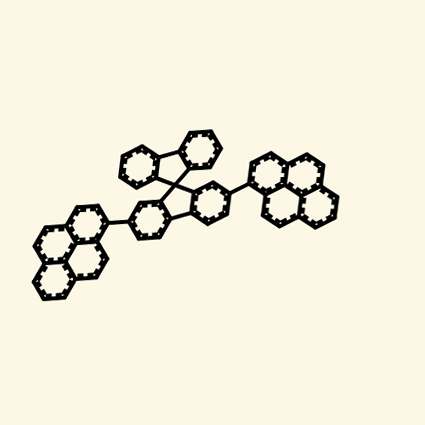 c1ccc2c(c1)-c1ccccc1C21c2cc(-c3ccc4ccc5cccc6ccc3c4c56)ccc2-c2ccc(-c3ccc4ccc5cccc6ccc3c4c56)cc21